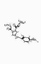 COC(=O)[C@@H]1CC(Oc2ccc(N)cc2)CN1C(=O)OC(C)(C)C